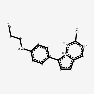 Clc1ncc2ccc(-c3ccc(OCCBr)cc3)n2n1